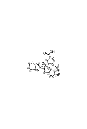 O=C(O)c1cccc(S(=O)(=O)N(Cc2ccc(F)c(C(F)(F)F)c2)c2cc3ccccc3s2)c1